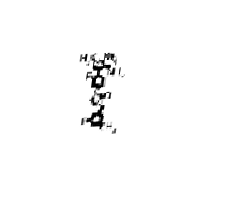 Cc1cc(F)cc(CN2CCN(c3ccc(-c4cn(C)c5ncnc(N)c45)c(F)c3)C2=O)c1